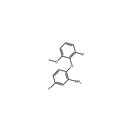 COc1cccc(F)c1Oc1ccc(F)cc1N